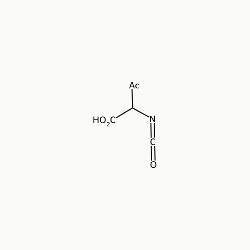 CC(=O)C(N=C=O)C(=O)O